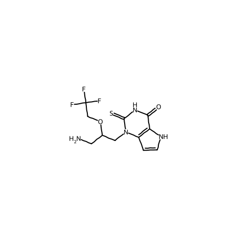 NCC(Cn1c(=S)[nH]c(=O)c2[nH]ccc21)OCC(F)(F)F